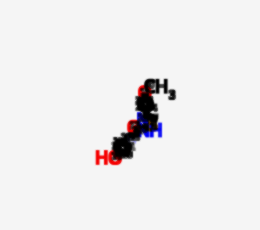 COc1ccc(-c2csc(NC(=O)/C=C/c3ccc(O)cc3)n2)cc1